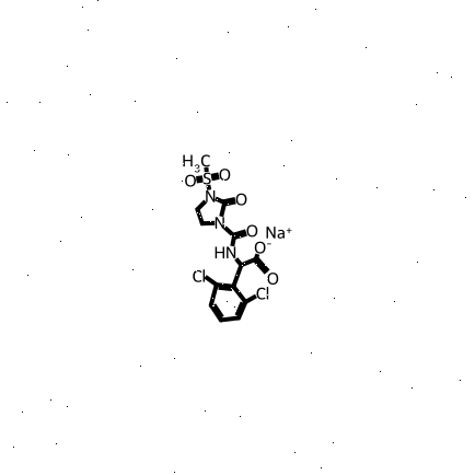 CS(=O)(=O)N1CCN(C(=O)NC(C(=O)[O-])c2c(Cl)cccc2Cl)C1=O.[Na+]